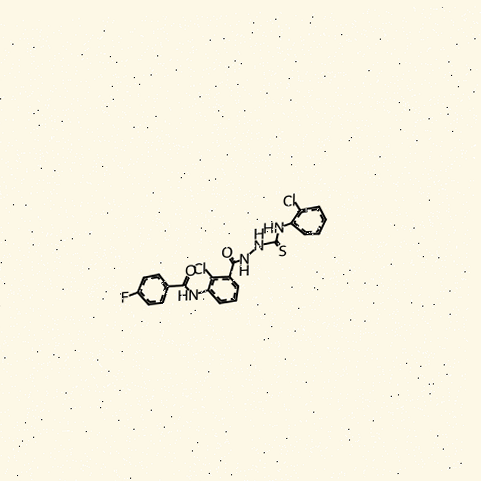 O=C(Nc1cccc(C(=O)NNC(=S)Nc2ccccc2Cl)c1Cl)c1ccc(F)cc1